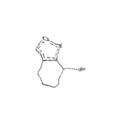 CC(C)(C)C1CCCc2conc21